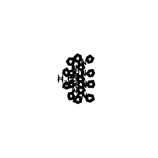 CC1(C)C2=C(c3ccccc31)N(c1ccccc1)c1c3c(cc4c1c1ccccc1n4-c1ccccc1)N(c1ccccc1)c1cc4c(cc1B23)B1C2=C(c3ccccc3C2(C)C)N(c2ccccc2)c2c1c(cc1c2c2ccccc2n1-c1ccccc1)N4c1ccccc1